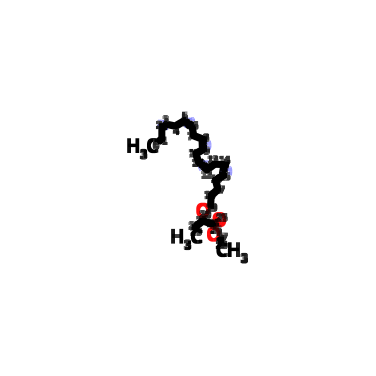 CC/C=C\C/C=C\C/C=C\C/C=C\C/C=C\CCCCOC(CC)C(=O)OCC